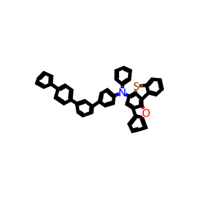 c1ccc(-c2ccc(-c3cccc(-c4ccc(N(c5ccccc5)c5cc6c7ccccc7oc6c6c5sc5ccccc56)cc4)c3)cc2)cc1